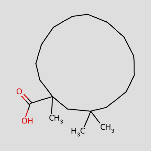 CC1(C)CCCCCCCCCCCCC(C)(C(=O)O)C1